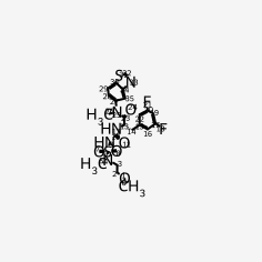 COCCN(C)S(=O)(=O)NC(=O)N[C@@H](Cc1cc(F)cc(F)c1)C(=O)N(C)c1ccc2scnc2c1